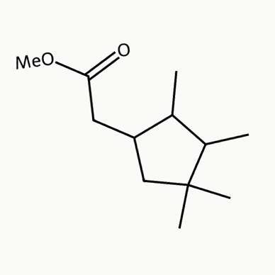 COC(=O)CC1CC(C)(C)C(C)C1C